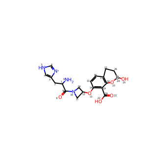 NC(Cc1c[nH]cn1)C(=O)N1CC(Oc2ccc3c(c2C(=O)O)OB(O)CC3)C1